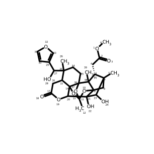 COC(=O)C[C@@H]1C2(C)CC34OC5(C)OC67C(CC(=O)OC6C3(O)C2O)C(C)(C(O)c2ccoc2)CCC7(O5)C14C